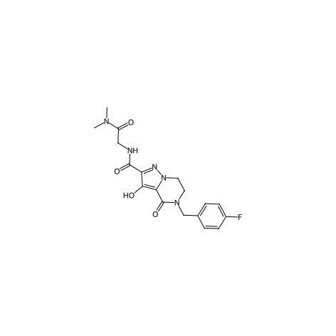 CN(C)C(=O)CNC(=O)c1nn2c(c1O)C(=O)N(Cc1ccc(F)cc1)CC2